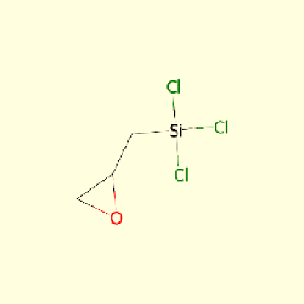 Cl[Si](Cl)(Cl)CC1CO1